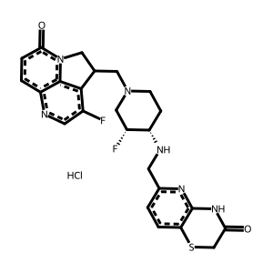 Cl.O=C1CSc2ccc(CN[C@H]3CCN(CC4Cn5c(=O)ccc6ncc(F)c4c65)C[C@H]3F)nc2N1